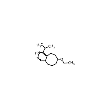 CCOC1CCCC2C=NNC(C(C)C)=C2CC1